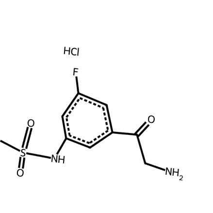 CS(=O)(=O)Nc1cc(F)cc(C(=O)CN)c1.Cl